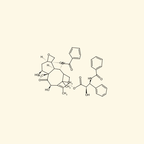 CC(=O)O[C@@]12CO[C@@H]1C[C@H](O)[C@@]1(C)C(=O)[C@H](O)C3=C(C)[C@@H](OC(=O)[C@H](O)[C@@H](NC(=O)c4ccccc4)c4ccccc4)CC([C@@H](OC(=O)c4ccccc4)[C@H]21)C3(C)C